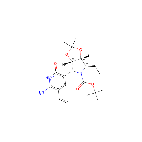 C=Cc1cc(C2[C@@H]3OC(C)(C)O[C@@H]3[C@@H](CC)N2C(=O)OC(C)(C)C)c(=O)[nH]c1N